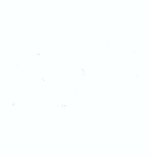 COc1c(C(=O)OC(C)C)n([C@@H]2CCOC2OC)cc(C(=O)NCc2ccc(F)c(Cl)c2F)c1=O